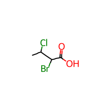 CC(Cl)C(Br)C(=O)O